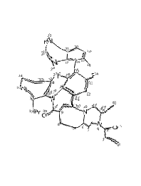 C=CC(=O)N1CC2CCc3c(c4cc(F)c(-c5c(C)ccc6[nH]cnc56)c(F)c4n(-c4c(C)ccnc4C(C)C)c3=O)N2CC1C